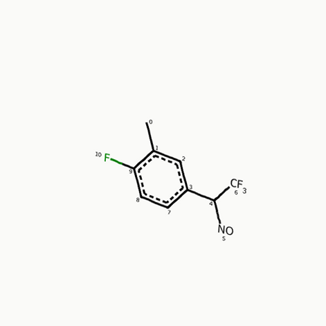 Cc1cc(C(N=O)C(F)(F)F)ccc1F